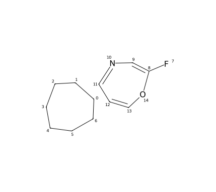 C1CCCCCC1.FC1=CN=CC=CO1